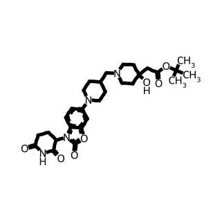 CC(C)(C)OC(=O)CC1(O)CCN(CC2CCN(c3ccc4c(c3)oc(=O)n4C3CCC(=O)NC3=O)CC2)CC1